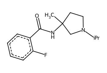 CC(C)N1CCC(C)(NC(=O)c2ccccc2F)C1